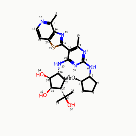 CO[C@@H]1CCC[C@@H]1Nc1nc(C)c(-c2nc3c(C)nccc3s2)c(N[C@@H]2C[C@H](C(C)(C)O)[C@@H](O)[C@H]2O)n1